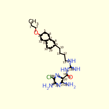 CCCOc1ccc2cc(CCCCNC(=N)NC(=O)c3nc(Cl)c(N)nc3N)ccc2c1